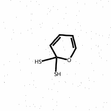 SC1(S)C=CC=CO1